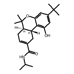 CC(C)NC(=O)C1=CC[C@@H]2[C@@H](C1)c1c(O)cc(C(C)(C)C)cc1OC2(C)C